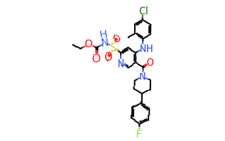 CCOC(=O)NS(=O)(=O)c1cc(Nc2ccc(Cl)cc2C)c(C(=O)N2CCC(c3ccc(F)cc3)CC2)cn1